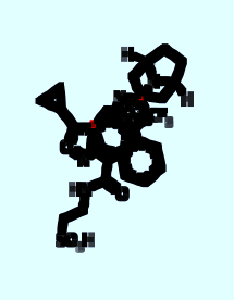 O=C(NCCS(=O)(=O)O)c1ccc2nc(N3[C@@H]4CC[C@H]3C[C@@H](OCc3c(-c5ccccc5OC(F)(F)F)noc3C3CC3)C4)sc2c1